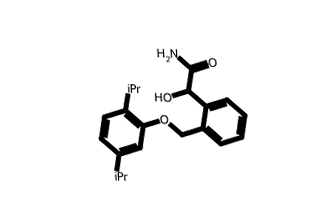 CC(C)c1ccc(C(C)C)c(OCc2ccccc2C(O)C(N)=O)c1